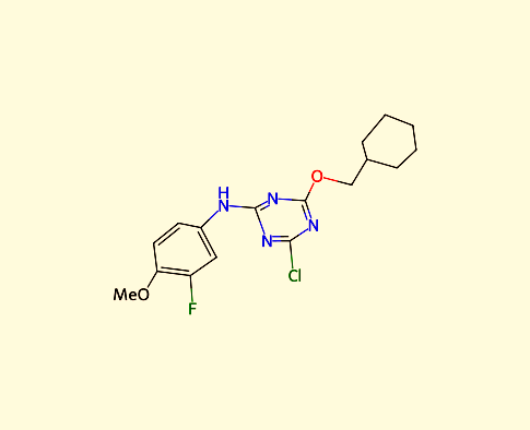 COc1ccc(Nc2nc(Cl)nc(OCC3CCCCC3)n2)cc1F